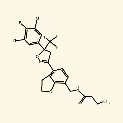 CCCC(=O)NCc1ccc(C2=NOC(c3cc(Cl)c(F)c(Cl)c3)(C(F)(F)F)C2)c2c1OCC2